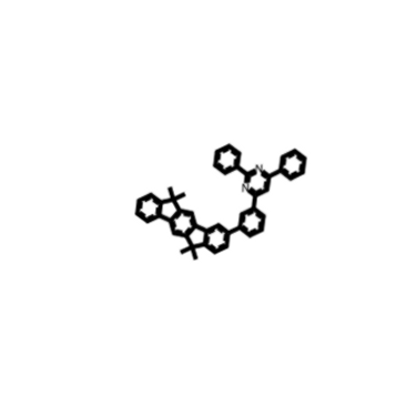 CC1(C)c2ccccc2-c2cc3c(cc21)-c1cc(-c2cccc(-c4cc(-c5ccccc5)nc(-c5ccccc5)n4)c2)ccc1C3(C)C